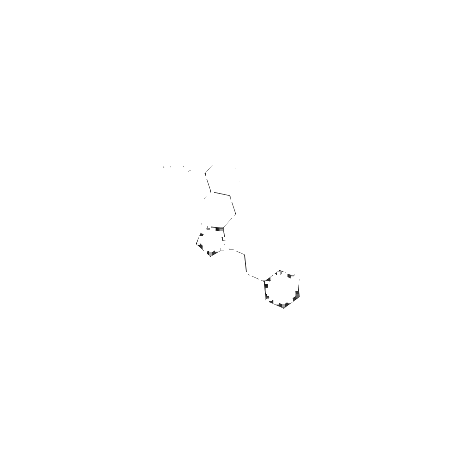 CN[C@H](C(=O)O)[C@H](O)[C@H](C)Cc1nccn1CCc1cccnc1